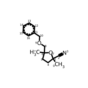 CC1(C#N)CCC(C)(COCc2ccccc2)O1